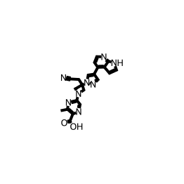 Cc1nc(N2CC(CC#N)(n3cc(-c4ccnc5[nH]ccc45)cn3)C2)cnc1C(=O)O